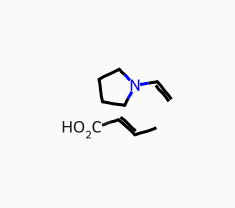 C=CN1CCCC1.CC=CC(=O)O